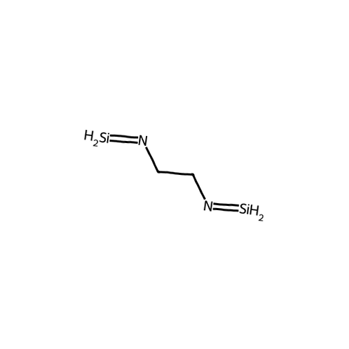 [SiH2]=NCCN=[SiH2]